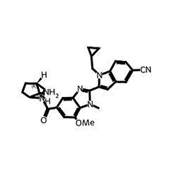 COc1cc(C(=O)N2C[C@H]3CCC2[C@H]3N)cc2nc(-c3cc4cc(C#N)ccc4n3CC3CC3)n(C)c12